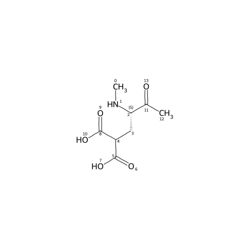 CN[C@@H](CC(C(=O)O)C(=O)O)C(C)=O